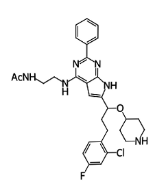 CC(=O)NCCNc1nc(-c2ccccc2)nc2[nH]c(C(CCc3ccc(F)cc3Cl)OC3CCNCC3)cc12